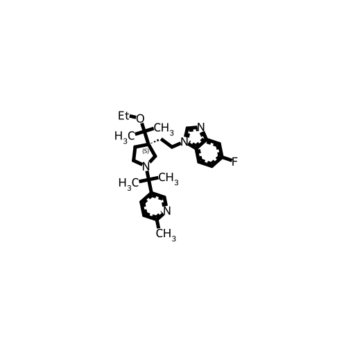 CCOC(C)(C)[C@]1(CCn2cnc3cc(F)ccc32)CCN(C(C)(C)c2ccc(C)nc2)C1